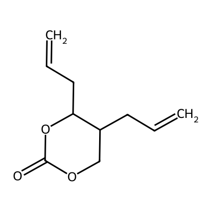 C=CCC1COC(=O)OC1CC=C